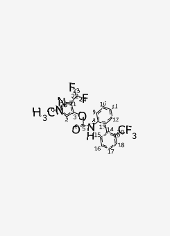 Cn1cc(OC(=O)Nc2ccccc2-c2ccccc2C(F)(F)F)c(C(F)F)n1